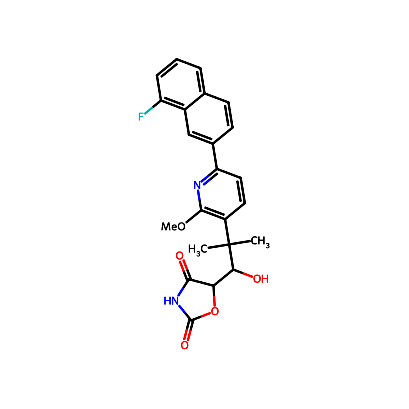 COc1nc(-c2ccc3cccc(F)c3c2)ccc1C(C)(C)C(O)C1OC(=O)NC1=O